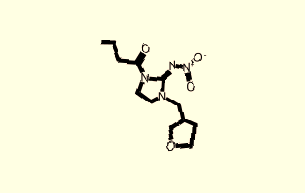 CCCC(=O)N1CCN(CC2CCOC2)C1=N[N+](=O)[O-]